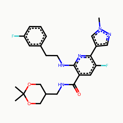 Cn1cc(-c2nc(NCCc3cccc(F)c3)c(C(=O)NCC3COC(C)(C)OC3)cc2F)cn1